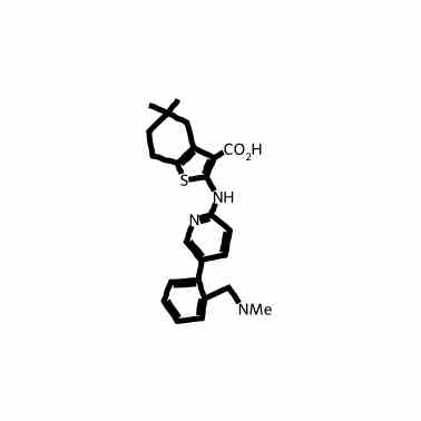 CNCc1ccccc1-c1ccc(Nc2sc3c(c2C(=O)O)CC(C)(C)CC3)nc1